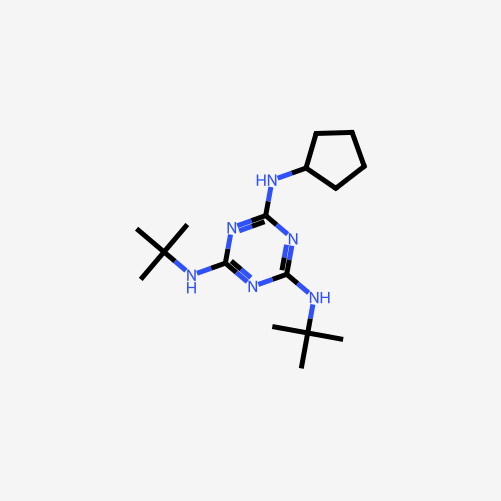 CC(C)(C)Nc1nc(NC2CCCC2)nc(NC(C)(C)C)n1